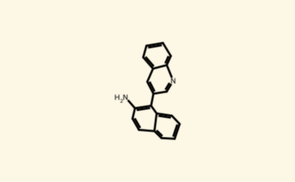 Nc1ccc2ccccc2c1-c1cnc2ccccc2c1